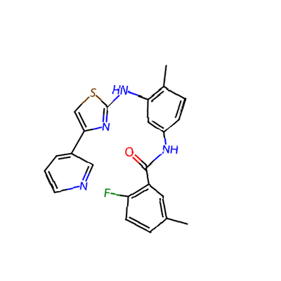 Cc1ccc(F)c(C(=O)Nc2ccc(C)c(Nc3nc(-c4cccnc4)cs3)c2)c1